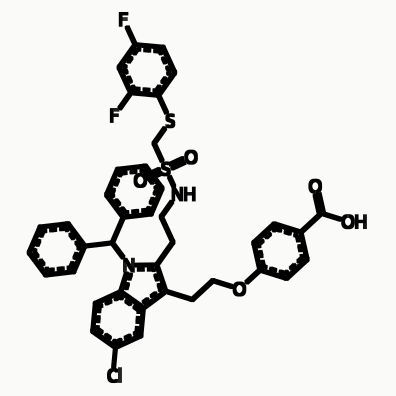 O=C(O)c1ccc(OCCc2c(CCNS(=O)(=O)CSc3ccc(F)cc3F)n(C(c3ccccc3)c3ccccc3)c3ccc(Cl)cc23)cc1